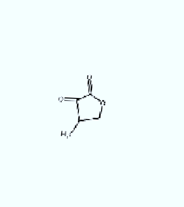 CC1COC(=O)C1=O